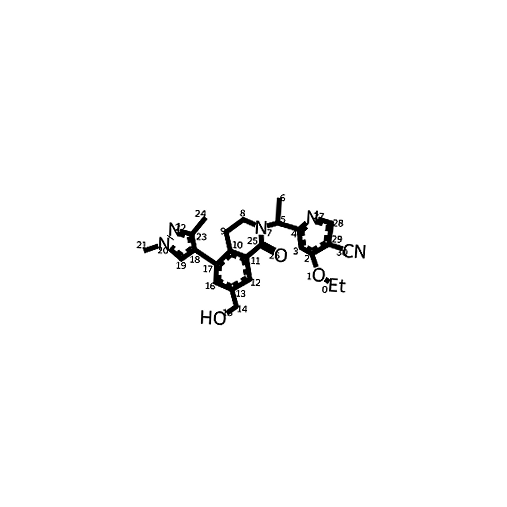 CCOc1cc(C(C)N2CCc3c(cc(CO)cc3-c3cn(C)nc3C)C2=O)ncc1C#N